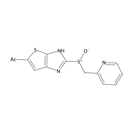 CC(=O)c1cc2nc([S+]([O-])Cc3ccccn3)[nH]c2s1